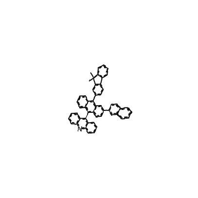 CC1(C)c2ccccc2-c2ccc(-c3c4ccccc4c(-c4c5ccccc5nc5ccccc45)c4ccc(-c5ccc6ccccc6c5)cc34)cc21